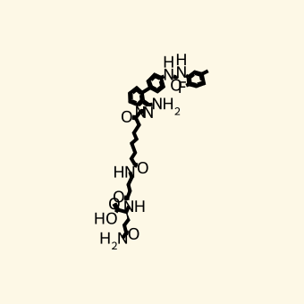 Cc1ccc(F)c(NC(=O)Nc2ccc(-c3cccc4c3c(N)nn4C(=O)CCCCCCC(=O)NCCCC(=O)N[C@@H](CCC(N)=O)C(=O)O)cc2)c1